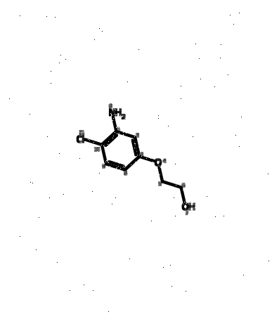 Nc1cc(OCCO)ccc1Cl